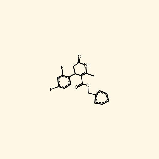 CC1=C(C(=O)OCc2ccccc2)C(c2ccc(F)cc2F)CC(=O)N1